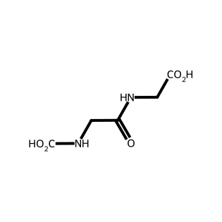 O=C(O)CNC(=O)CNC(=O)O